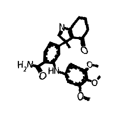 COc1cc(Nc2cc(C3(C)C=NC4=C3C(=O)CCC4)ccc2C(N)=O)cc(OC)c1OC